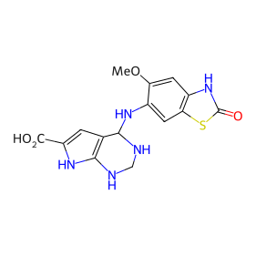 COc1cc2[nH]c(=O)sc2cc1NC1NCNc2[nH]c(C(=O)O)cc21